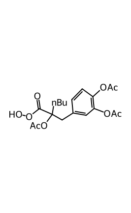 CCCCC(Cc1ccc(OC(C)=O)c(OC(C)=O)c1)(OC(C)=O)C(=O)OO